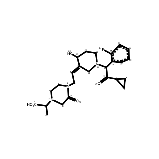 CC(C(=O)O)N1CCN(CC=C2CN(C(C(=O)C3CC3)c3ccccc3F)CCC2S)C(=O)C1